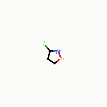 ClC1[CH]CON1